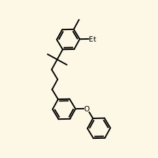 CCc1cc(C(C)(C)CCCc2cccc(Oc3ccccc3)c2)ccc1C